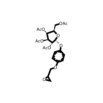 CC(=O)OC[C@H]1O[C@H](Oc2ccc(OCC3CO3)cc2)[C@H](OC(C)=O)[C@@H](OC(C)=O)[C@@H]1OC(C)=O